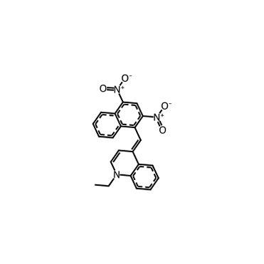 CCN1C=CC(=Cc2c([N+](=O)[O-])cc([N+](=O)[O-])c3ccccc23)c2ccccc21